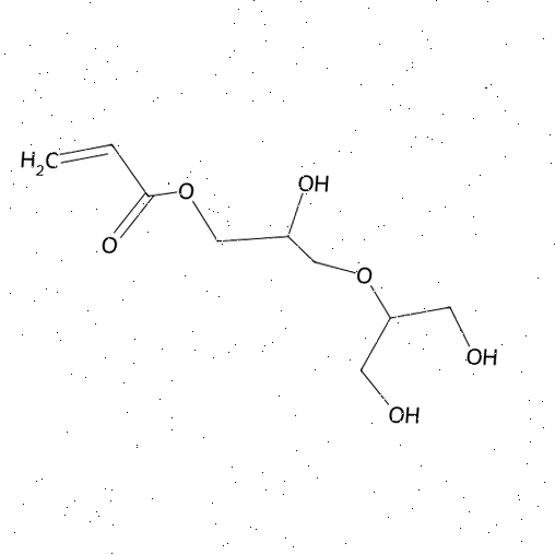 C=CC(=O)OCC(O)COC(CO)CO